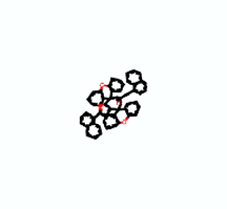 c1ccc2c(c1)Oc1ccccc1C21c2cc(-c3cccc4ccccc34)oc2C2(c3ccccc3Oc3ccccc32)c2cc(-c3cccc4ccccc34)oc21